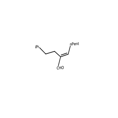 CCCCCC=C(C=O)CCC(C)C